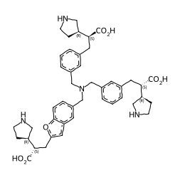 O=C(O)[C@@H](Cc1cccc(CN(Cc2cccc(C[C@H](C(=O)O)[C@H]3CCNC3)c2)Cc2ccc3oc(C[C@H](C(=O)O)[C@H]4CCNC4)cc3c2)c1)[C@H]1CCNC1